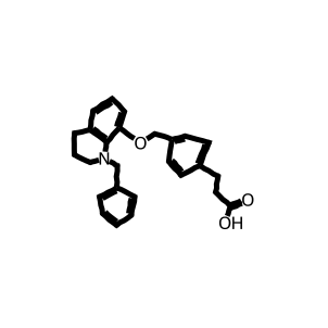 O=C(O)CCc1ccc(COc2cccc3c2N(Cc2ccccc2)CCC3)cc1